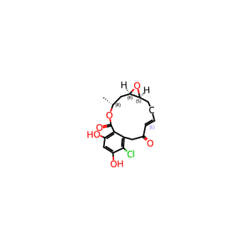 C[C@@H]1C[C@H]2O[C@H]2CC/C=C/C(=O)Cc2c(Cl)c(O)cc(O)c2C(=O)O1